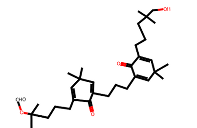 CC1(C)C=C(CCCC2=CC(C)(C)C=C(CCCC(C)(C)OC=O)C2=O)C(=O)C(CCCC(C)(C)CO)=C1